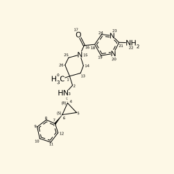 CC1(CN[C@@H]2C[C@H]2c2ccccc2)CCN(C(=O)c2cnc(N)nc2)CC1